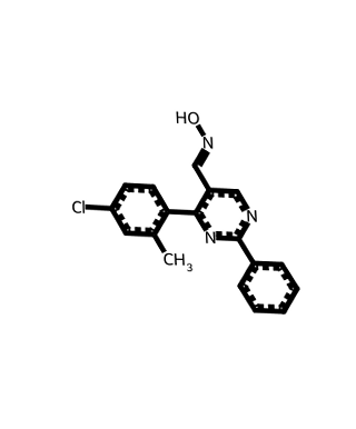 Cc1cc(Cl)ccc1-c1nc(-c2ccccc2)ncc1C=NO